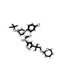 CC(C)(C)O[C@@H]1C[C@@H](C(=O)Nc2cc(C(C)(C)COC3CCCCO3)no2)N(c2ccc(Cl)cc2)C1